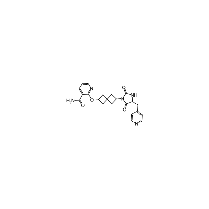 NC(=O)c1cccnc1O[C@H]1CC2(C1)C[C@H](N1C(=O)NC(Cc3ccncc3)C1=O)C2